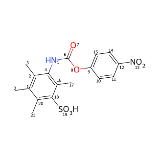 Cc1c(C)c(NC(=O)Oc2ccc([N+](=O)[O-])cc2)c(C)c(S(=O)(=O)O)c1C